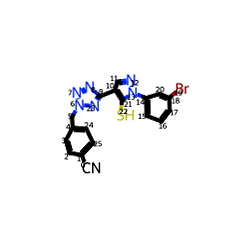 N#Cc1ccc(Cn2nnc(-c3cnn(-c4cccc(Br)c4)c3S)n2)cc1